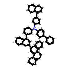 c1ccc(-c2ccc(N(c3ccc(-c4cccc5ccccc45)cc3)c3cccc(-c4cc(-c5cc6c7ccccc7ccc6c6ccccc56)cc5ccccc45)c3)cc2)cc1